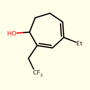 CCC1=CCCC(O)C(CC(F)(F)F)=C1